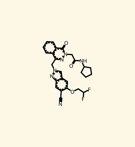 N#Cc1cc2nn(Cc3nn(CC(=O)NC4CCCC4)c(=O)c4ccccc34)cc2cc1OCC(F)F